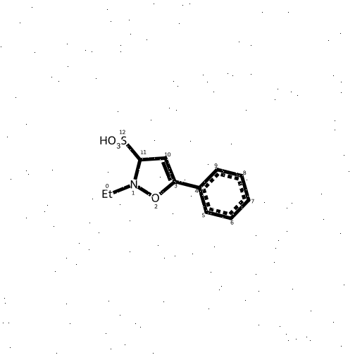 CCN1OC(c2ccccc2)=CC1S(=O)(=O)O